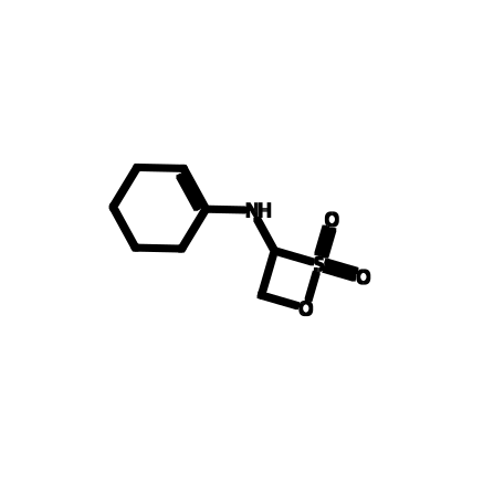 O=S1(=O)OCC1NC1=CCCCC1